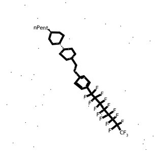 CCCCC[C@H]1CC[C@H](C2CCC(CCc3ccc(C(F)(F)C(F)(F)C(F)(F)C(F)(F)C(F)(F)C(F)(F)C(F)(F)C(F)(F)F)cc3)CC2)CC1